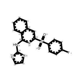 O=S(=O)(c1ccc(F)cc1)c1cc2ccccc2c(Nc2ncco2)n1